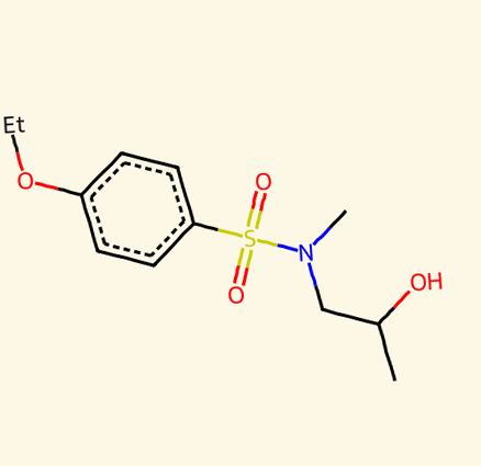 CCOc1ccc(S(=O)(=O)N(C)CC(C)O)cc1